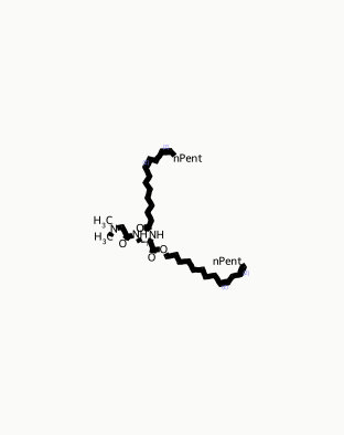 CCCCC/C=C\C/C=C\CCCCCCCCOC(=O)[C@H](CNC(=O)CN(C)C)NC(=O)CCCCCCC/C=C\C/C=C\CCCCC